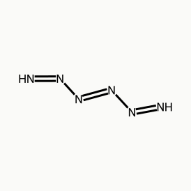 N=NN=NN=N